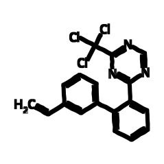 C=Cc1cccc(-c2ccccc2-c2ncnc(C(Cl)(Cl)Cl)n2)c1